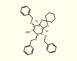 O[C@@H]1[C@@H](OCc2ccccc2)[C@H]2OC3(CCCCC3)O[C@H]2[C@H](OCc2ccccc2)[C@H]1OCc1ccccc1